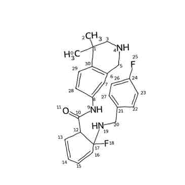 CC1(C)CNCc2cc(NC(=O)C3C=CC=CC3(F)NCc3ccc(F)cc3)ccc21